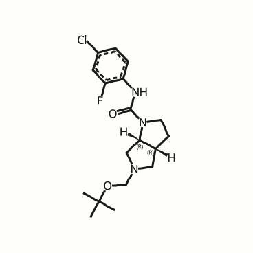 CC(C)(C)OCN1C[C@H]2CCN(C(=O)Nc3ccc(Cl)cc3F)[C@H]2C1